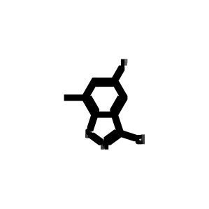 Cc1cc(F)cc2c(Cl)nsc12